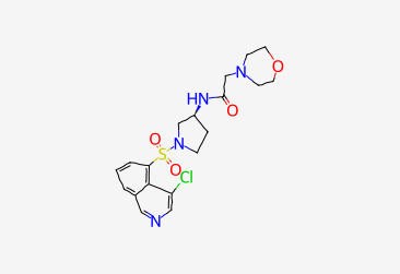 O=C(CN1CCOCC1)N[C@H]1CCN(S(=O)(=O)c2cccc3cncc(Cl)c23)C1